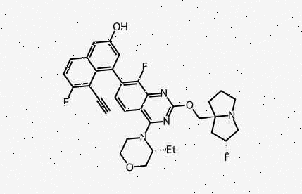 C#Cc1c(F)ccc2cc(O)cc(-c3ccc4c(N5CCOC[C@H]5CC)nc(OC[C@@]56CCCN5C[C@H](F)C6)nc4c3F)c12